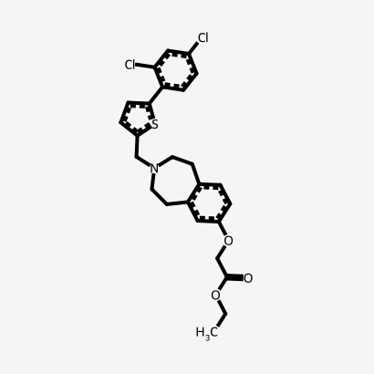 CCOC(=O)COc1ccc2c(c1)CCN(Cc1ccc(-c3ccc(Cl)cc3Cl)s1)CC2